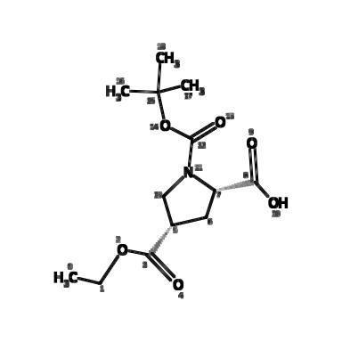 CCOC(=O)[C@H]1C[C@@H](C(=O)O)N(C(=O)OC(C)(C)C)C1